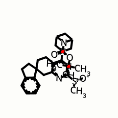 C[S+]([O-])c1nc2c(c(N3CC4CC(C3)N4C(=O)OC(C)(C)C)n1)CCC1(CCc3ccccc31)C2